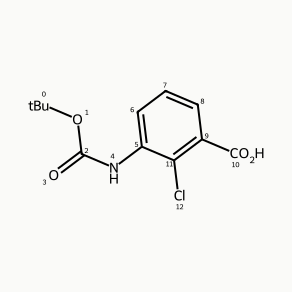 CC(C)(C)OC(=O)Nc1cccc(C(=O)O)c1Cl